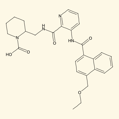 CCOCc1ccc(C(=O)Nc2cccnc2C(=O)NCC2CCCCN2C(=O)O)c2ccccc12